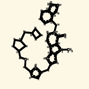 Cn1c2nc(Cc3csc(COCC4CCC(CC5CCC5)C4)n3)sc2c2cnn(Cc3cccc4[nH]ncc34)c(=O)c21